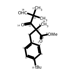 COC(=O)C(C)(Cc1ccc(C(C)(C)C)cc1)C(=O)C(C)(C)C=O